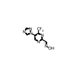 O/N=C/c1ncc(-n2cncn2)c(C(F)(F)F)n1